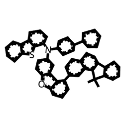 CC1(C)c2ccccc2-c2ccc3ccc(-c4cccc5oc6ccc(N(c7ccc(-c8ccccc8)cc7)c7cccc8c7sc7ccccc78)cc6c45)cc3c21